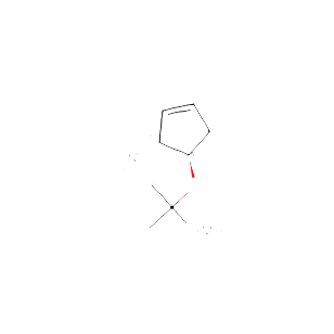 COC(C)(C)O[C@@H]1CC=C[C@H]1N